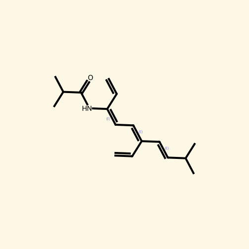 C=CC(/C=C/C(C)C)=C\C=C(/C=C)NC(=O)C(C)C